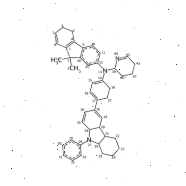 CC1(C)C2=C(CCC=C2)c2ccc(N(C3=CC=C(C4=CC5C6CCCCC6N(c6ccccc6)C5C=C4)CC3)C3CCCC=N3)cc21